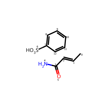 CC=CC(N)=O.O=S(=O)(O)c1ccccc1